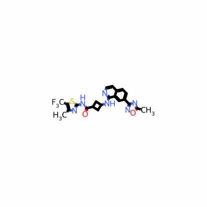 Cc1nc(-c2ccc3ccnc(NC4CC(C(=O)Nc5nc(C)c(C(F)(F)F)s5)C4)c3c2)no1